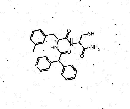 Cc1cccc(C[C@H](NC(=O)C(c2ccccc2)c2ccccc2)C(=O)N[C@@H](CS)C(N)=O)c1